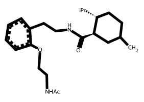 CC(=O)NCCOc1ccccc1CCNC(=O)[C@@H]1CC(C)CC[C@H]1C(C)C